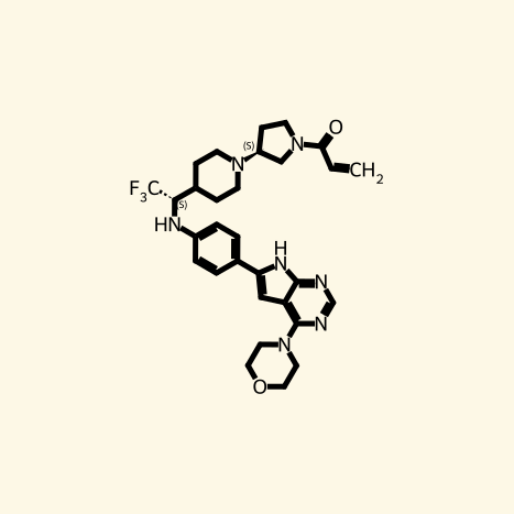 C=CC(=O)N1CC[C@H](N2CCC([C@H](Nc3ccc(-c4cc5c(N6CCOCC6)ncnc5[nH]4)cc3)C(F)(F)F)CC2)C1